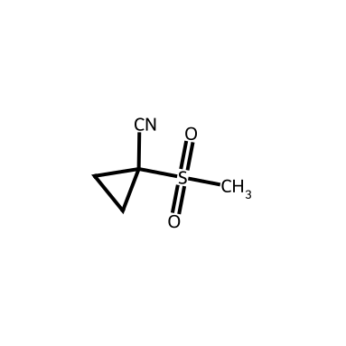 CS(=O)(=O)C1(C#N)CC1